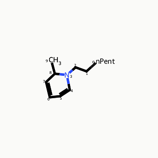 CCCCCCCN1C=CC=CC1C